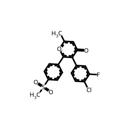 Cc1cc(=O)c(-c2ccc(Cl)c(F)c2)c(-c2ccc(S(C)(=O)=O)cc2)o1